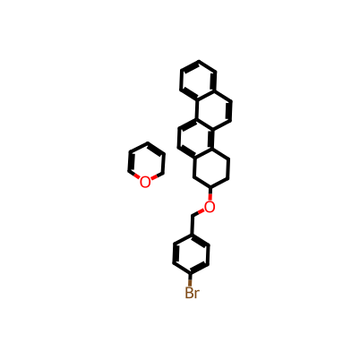 Brc1ccc(COC2CCc3c(ccc4c3ccc3ccccc34)C2)cc1.C1=CCOC=C1